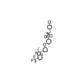 CCc1nc2c(C(F)(F)F)cccn2c1-c1cccc(Oc2cccc(S(=O)(=O)N(C)Cc3ccc(OC)cc3)c2)c1